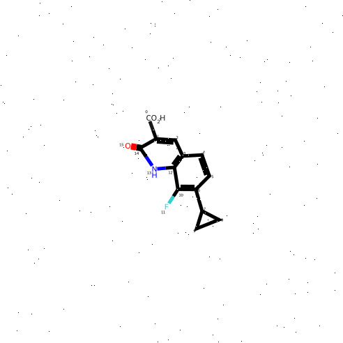 O=C(O)c1cc2ccc(C3CC3)c(F)c2[nH]c1=O